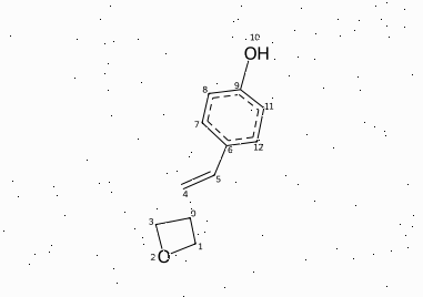 C1COC1.C=Cc1ccc(O)cc1